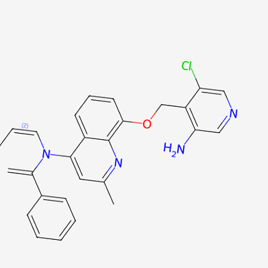 C=C(c1ccccc1)N(/C=C\C)c1cc(C)nc2c(OCc3c(N)cncc3Cl)cccc12